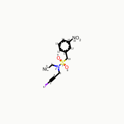 N#CCN(CC#CI)S(=O)(=O)Cc1cccc([N+](=O)[O-])c1